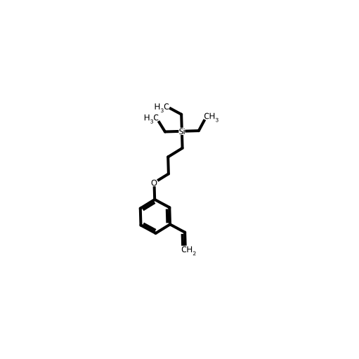 C=Cc1cccc(OCCC[Si](CC)(CC)CC)c1